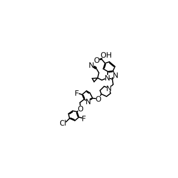 N#CCC1(Cn2c(CN3CCC(Oc4ccc(F)c(COc5ccc(Cl)cc5F)n4)CC3)nc3ccc(C(=O)O)cc32)CC1